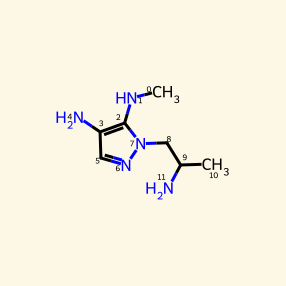 CNc1c(N)cnn1CC(C)N